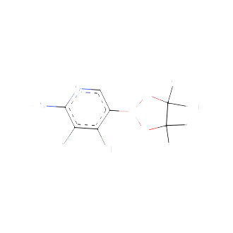 CC1(C)OB(c2cnc(N)c(Cl)c2Cl)OC1(C)C